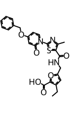 CCc1cc(CNC(=O)c2sc(-n3ccc(OCc4ccccc4)cc3=O)nc2C)oc1C(=O)O